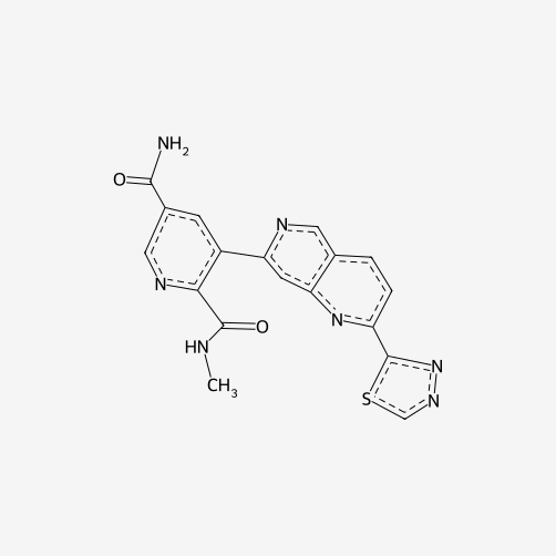 CNC(=O)c1ncc(C(N)=O)cc1-c1cc2nc(-c3nncs3)ccc2cn1